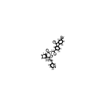 O=C(COC(=O)[C@H]1C2CCC(C2)[C@@H]1C(=O)NCc1cccnc1)c1ccc2c(c1)C(=O)c1cc(Br)ccc1-2